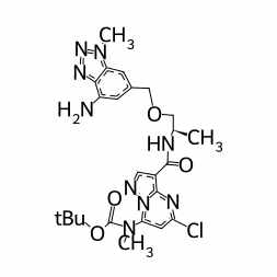 C[C@H](COCc1cc(N)c2nnn(C)c2c1)NC(=O)c1cnn2c(N(C)C(=O)OC(C)(C)C)cc(Cl)nc12